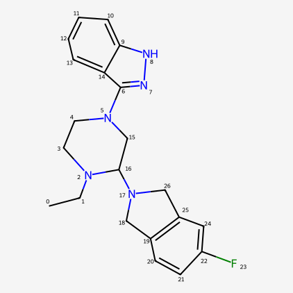 CCN1CCN(c2n[nH]c3ccccc23)CC1N1Cc2ccc(F)cc2C1